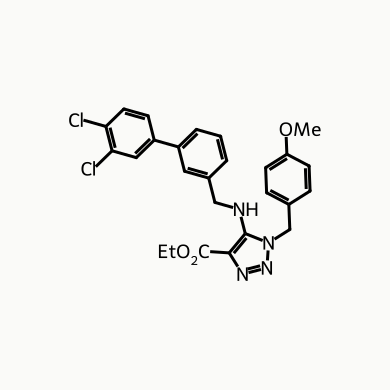 CCOC(=O)c1nnn(Cc2ccc(OC)cc2)c1NCc1cccc(-c2ccc(Cl)c(Cl)c2)c1